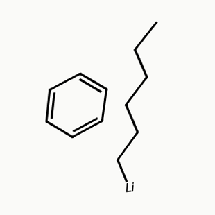 [Li][CH2]CCCCC.c1ccccc1